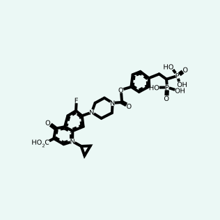 O=C(O)c1cn(C2CC2)c2cc(N3CCN(C(=O)Oc4ccc(CC(P(=O)(O)O)P(=O)(O)O)cc4)CC3)c(F)cc2c1=O